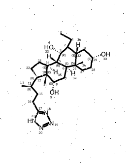 CCC1[C@@H](O)[C@@H]2[C@H](C[C@H](O)[C@]3(C)[C@@H]([C@H](C)CCc4nnn[nH]4)CC[C@@H]23)[C@@]2(C)CC[C@@H](O)C[C@@H]12